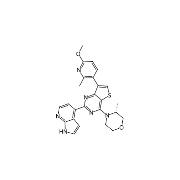 COc1ccc(-c2csc3c(N4CCOC[C@H]4C)nc(-c4ccnc5[nH]ccc45)nc23)c(C)n1